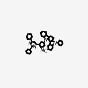 N#Cc1ccc2c(c1)c1c(ccc3c4ccccc4n(-c4cccc(-c5cc(-c6ccccc6)nc(-c6ccccc6)n5)c4)c31)n2-c1ccccc1